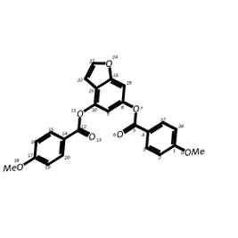 COc1ccc(C(=O)Oc2cc(OC(=O)c3ccc(OC)cc3)c3ccoc3c2)cc1